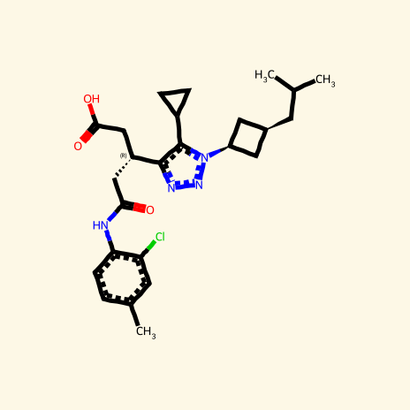 Cc1ccc(NC(=O)C[C@H](CC(=O)O)c2nnn([C@H]3C[C@@H](CC(C)C)C3)c2C2CC2)c(Cl)c1